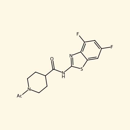 CC(=O)N1CCC(C(=O)Nc2nc3c(F)cc(F)cc3s2)CC1